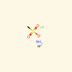 CS(=O)(=O)[O-].F.N.[H+]